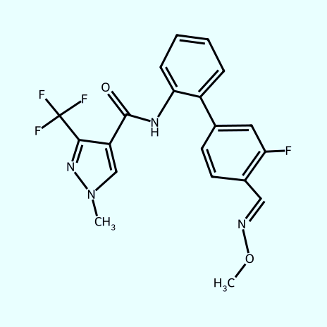 CON=Cc1ccc(-c2ccccc2NC(=O)c2cn(C)nc2C(F)(F)F)cc1F